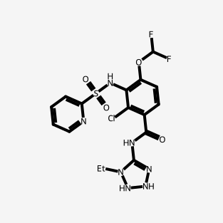 CCN1NNN=C1NC(=O)c1ccc(OC(F)F)c(NS(=O)(=O)c2ccccn2)c1Cl